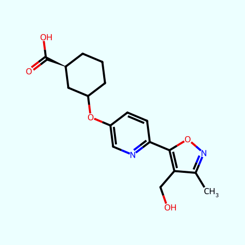 Cc1noc(-c2ccc(OC3CCC[C@H](C(=O)O)C3)cn2)c1CO